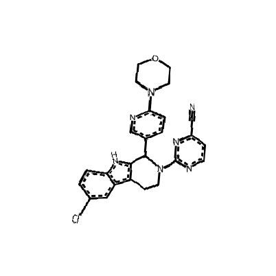 N#Cc1ccnc(N2CCc3c([nH]c4ccc(Cl)cc34)C2c2ccc(N3CCOCC3)nc2)n1